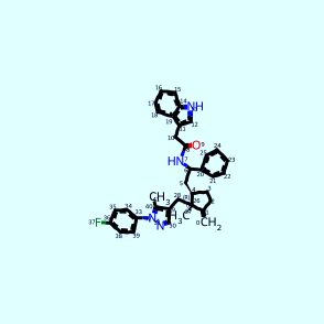 C=C1CC[C@H](CC(NC(=O)Cc2c[nH]c3ccccc23)c2ccccc2)[C@@]1(C)Cc1cnn(-c2ccc(F)cc2)c1C